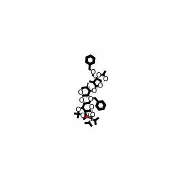 CC(=O)O[C@@]1(COCc2ccccc2)CO[C@@H](OC2[C@H](C)CO[C@@H](O[C@H]3C(C)O[C@@H](O[Si](C(C)C)(C(C)C)C(C)C)[C@H]4OC(C)(C)OC34)[C@@H]2OCc2ccccc2)C1C